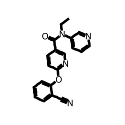 CCN(C(=O)c1ccc(Oc2ccccc2C#N)nc1)c1cccnc1